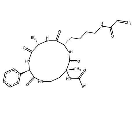 C=CC(=O)NCCCC[C@@H]1NC(=O)[C@](C)(NC(=O)C(C)C)CCNC(=O)[C@@H](c2ccccc2)NC(=O)[C@H](CC)NC1=O